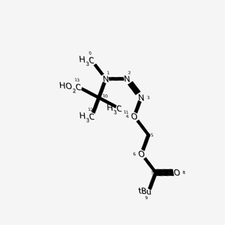 CN(/N=N\OCOC(=O)C(C)(C)C)C(C)(C)C(=O)O